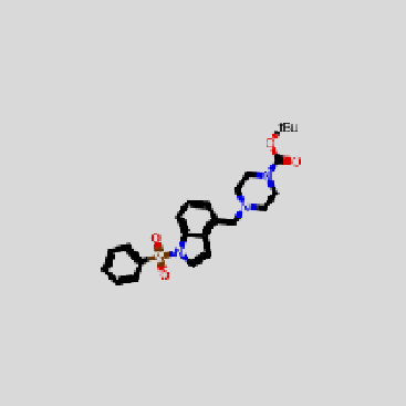 CC(C)(C)OC(=O)N1CCN(Cc2cccc3c2ccn3S(=O)(=O)c2ccccc2)CC1